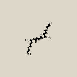 CC(CCCSCCO)OC(=O)/C=C/C(=O)OC(C)CCCSCCO